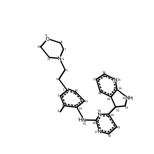 Cc1cc(CCN2CCOCC2)ccc1Nc1nccc(C2CNc3ncccc32)n1